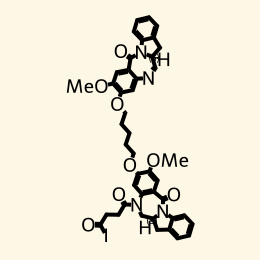 COc1cc2c(cc1OCCCCCOc1cc3c(cc1OC)C(=O)N1c4ccccc4C[C@H]1CN3C(=O)CCC(=O)I)N=C[C@@H]1Cc3ccccc3N1C2=O